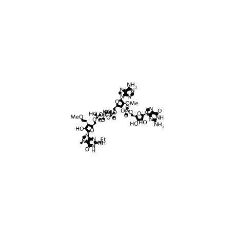 CCNc1nc2c(c(=O)[nH]1)[n+](C)cn2[C@@H]1O[C@H](COP(=O)(O)OP(=O)(O)OP(=O)(O)OC[C@H]2O[C@@H](n3cnc4c(N)ncnc43)[C@H](OC)[C@@H]2OP(=O)([O-])OC[C@H]2O[C@@H](n3cnc4c(=O)[nH]c(N)nc43)[C@H](O)[C@@H]2O)[C@@H](CCOC)[C@H]1O